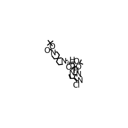 CC(C)(C)OC(=O)N1CCC2(CCCN(C[C@H]3O[C@@H](n4ccc5c(Cl)ncnc54)[C@@H]4OC(C)(C)O[C@@H]43)C2)CC1